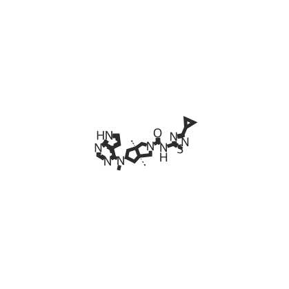 CN(c1ncnc2[nH]ccc12)[C@@H]1C[C@@]2(C)CN(C(=O)Nc3nc(C4CC4)ns3)C[C@@]2(C)C1